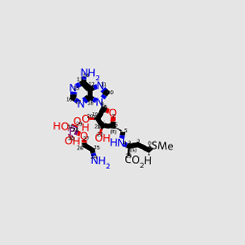 CSCC[C@H](NC[C@H]1O[C@@H](n2cnc3c(N)ncnc32)[C@H](O)[C@@H]1O)C(=O)O.NCCOP(=O)(O)O